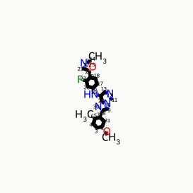 COc1ccc(C)c(-c2cn3cncc(Nc4ccc(-c5cnc(C)o5)c(F)c4)c3n2)c1